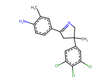 Cc1cc(C2=NCC(C)(c3cc(Cl)c(Cl)c(Cl)c3)C2)ccc1N